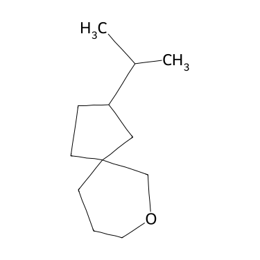 CC(C)C1CCC2(CCCOC2)C1